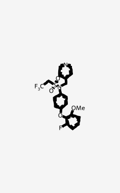 COc1cccc(F)c1Oc1ccc(N(Cc2ccncc2)S(=O)(=O)CC(F)(F)F)cc1